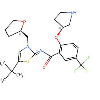 CC(C)(C)c1cn(C[C@H]2CCCO2)/c(=N/C(=O)c2cc(C(F)(F)F)ccc2O[C@H]2CCNC2)s1